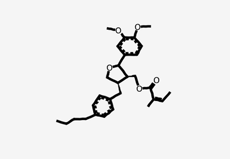 C/C=C(/C)C(=O)OC[C@@H]1C(c2ccc(OC)c(OC)c2)OC[C@@H]1Cc1ccc(CCCC)cc1